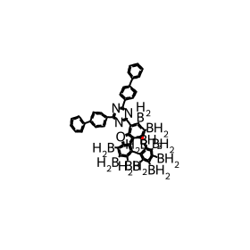 Bc1c(B)c(B)c(-c2c(B)c(B)c(B)c3oc4c(-c5nc(-c6ccc(-c7ccccc7)cc6)nc(-c6ccc(-c7ccccc7)cc6)n5)c(B)c(B)c(B)c4c23)c(B)c1B